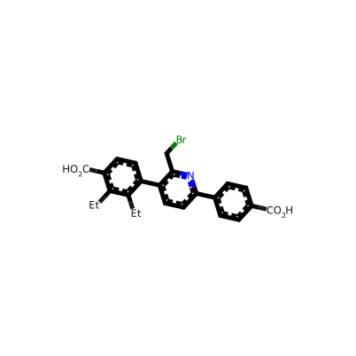 CCc1c(C(=O)O)ccc(-c2ccc(-c3ccc(C(=O)O)cc3)nc2CBr)c1CC